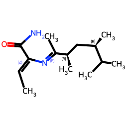 C/C=C(\N=C(/C)[C@H](C)C[C@@H](C)C(C)C)C(N)=O